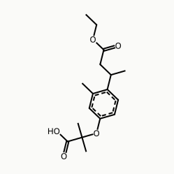 CCOC(=O)CC(C)c1ccc(OC(C)(C)C(=O)O)cc1C